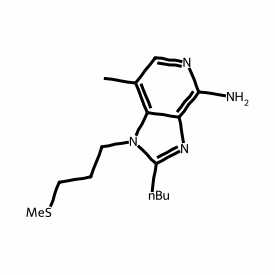 CCCCc1nc2c(N)ncc(C)c2n1CCCSC